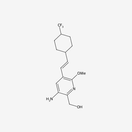 COc1nc(CO)c(N)cc1/C=C/C1CCC(C(F)(F)F)CC1